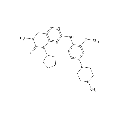 COc1cc(N2CCN(C)CC2)ccc1Nc1ncc2c(n1)N(C1CCCC1)C(=O)N(C)C2